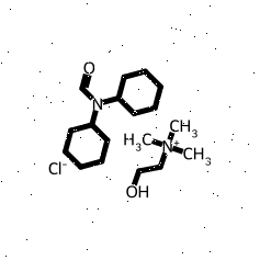 C[N+](C)(C)CCO.O=CN(C1CCCCC1)C1CCCCC1.[Cl-]